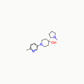 Cc1ccc(N2CCC(O)([C@@H]3CCCN3C)CC2)cn1